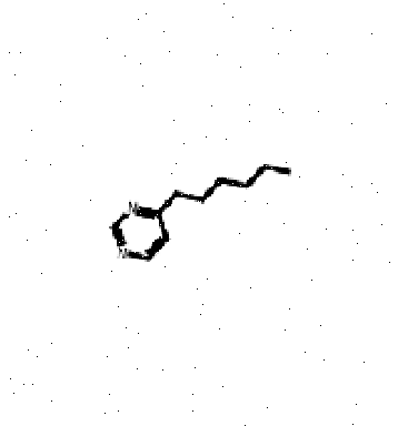 CCCCCCc1ccn[c]n1